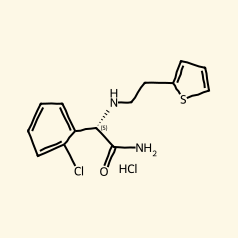 Cl.NC(=O)[C@@H](NCCc1cccs1)c1ccccc1Cl